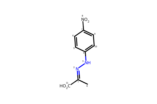 CC(=NNc1ccc([N+](=O)[O-])cc1)C(=O)O